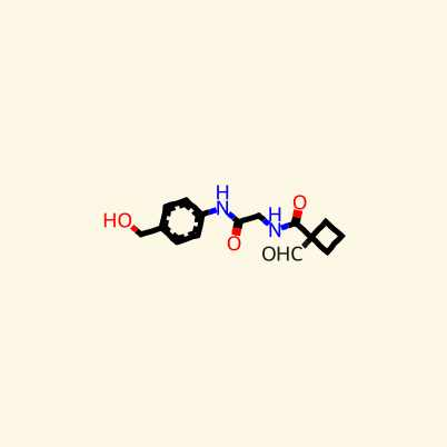 O=CC1(C(=O)NCC(=O)Nc2ccc(CO)cc2)CCC1